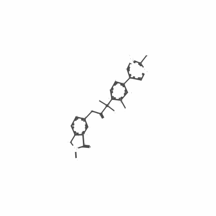 Cc1ncc(-c2ccc(C(C)(C)C(=O)Cc3ccc4c(c3)C(=O)N(C)C4)c(C)c2)cn1